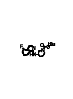 CC(C)(C)OC(=O)N1CCC[C@@H](Nc2nccc3c(F)cccc23)C1